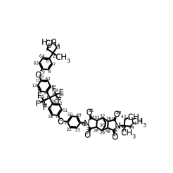 CCC(C)(CC)c1ccc(Oc2ccc(C(c3ccc(Oc4ccc(N5C(=O)C6C7CCC(C6C5=O)C5C(=O)N(C(C)(CC)CC)C(=O)C75)cc4)cc3)(C(F)(F)F)C(F)(F)F)cc2)cc1